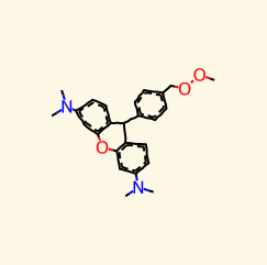 COOCc1ccc(C2c3ccc(N(C)C)cc3Oc3cc(N(C)C)ccc32)cc1